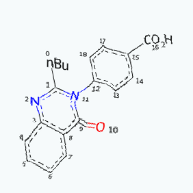 CCCCc1nc2ccccc2c(=O)n1-c1ccc(C(=O)O)cc1